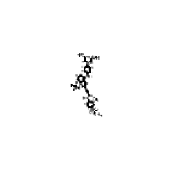 COc1cc(S(N)(=O)=O)ccc1NCC#Cc1cc2c(Nc3ccc(N(CCO)CCO)cc3)cccc2n1CC(F)(F)F